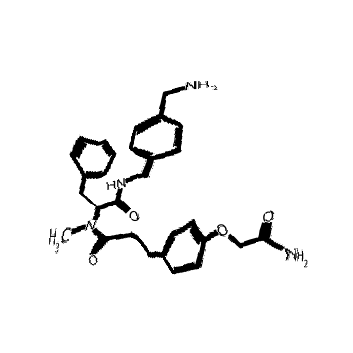 CN(C(=O)[CH]Cc1ccc(OCC(N)=O)cc1)[C@@H](Cc1ccccc1)C(=O)NCc1ccc(CN)cc1